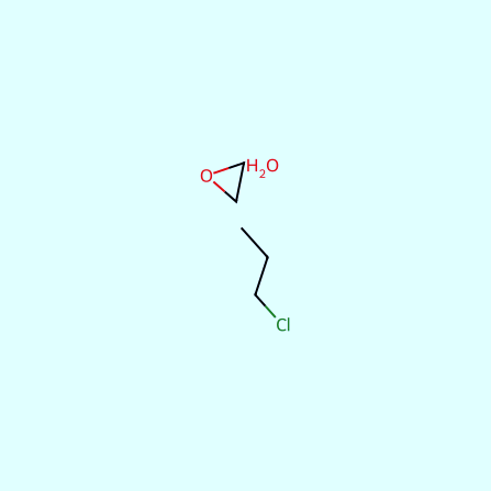 C1CO1.CCCCl.O